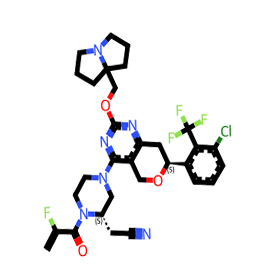 C=C(F)C(=O)N1CCN(c2nc(OCC34CCCN3CCC4)nc3c2CO[C@H](c2cccc(Cl)c2C(F)(F)F)C3)C[C@@H]1CC#N